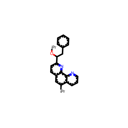 CC(C)OC(Cc1ccccc1)c1ccc2cc(C(C)C)c3cccnc3c2n1